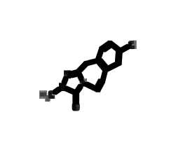 Cn1nc2n(c1=O)C=Cc1cc(Cl)ccc1C2